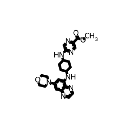 COC(=O)c1cnc(NC2CCC(Nc3cc(N4CCOCC4)cc4nccnc34)CC2)cn1